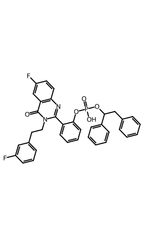 O=c1c2cc(F)ccc2nc(-c2ccccc2OP(=O)(O)OC(Cc2ccccc2)c2ccccc2)n1CCc1cccc(F)c1